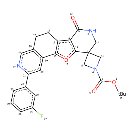 CC(C)(C)OC(=O)N1CC2(CNC(=O)c3c2oc2c3CCc3cnc(-c4cccc(F)c4)cc3-2)C1